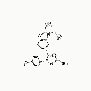 CC(C)Cn1c(N)nc2ccc(-c3oc(C(C)(C)C)nc3-c3ccc(F)cc3)cc21